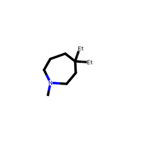 CCC1(CC)CCCN(C)CC1